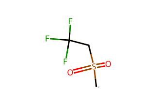 [CH2]S(=O)(=O)CC(F)(F)F